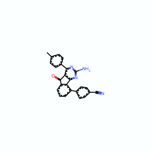 Cc1ccc(-c2nc(N)nc3c2C(=O)c2cccc(-c4ccc(C#N)cc4)c2-3)cc1